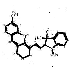 CCCN1c2ccccc2C(C)(C)C1/C=C/C1=C2Oc3cc(O)ccc3C=C2CCC1